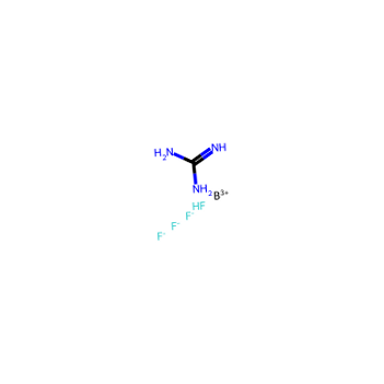 F.N=C(N)N.[B+3].[F-].[F-].[F-]